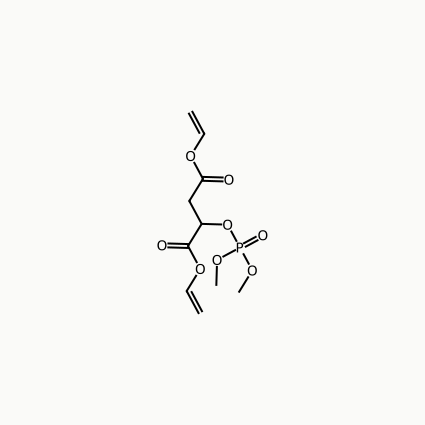 C=COC(=O)CC(OP(=O)(OC)OC)C(=O)OC=C